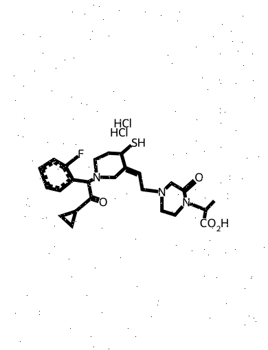 CC(C(=O)O)N1CCN(C/C=C2\CN(C(C(=O)C3CC3)c3ccccc3F)CCC2S)CC1=O.Cl.Cl